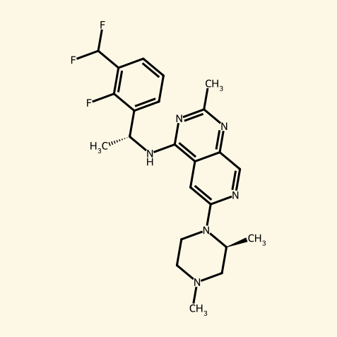 Cc1nc(N[C@H](C)c2cccc(C(F)F)c2F)c2cc(N3CCN(C)C[C@@H]3C)ncc2n1